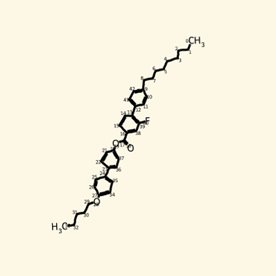 CCCCCCCCCc1ccc(-c2ccc(C(=O)Oc3ccc(-c4ccc(OCCCCC)cc4)cc3)cc2F)cc1